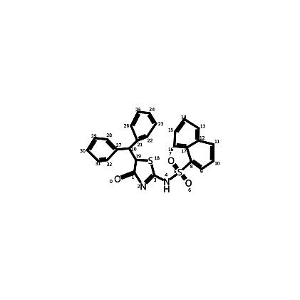 O=C1N=C(NS(=O)(=O)c2cccc3ccccc23)SC1C(c1ccccc1)c1ccccc1